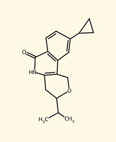 CC(C)C1Cc2[nH]c(=O)c3ccc(C4CC4)cc3c2CO1